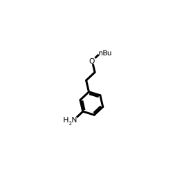 CCCCOCCc1cccc(N)c1